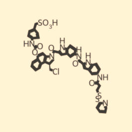 O=C(CCSSc1ccccn1)Nc1ccc2[nH]c(C(=O)Nc3ccc4[nH]c(C(=O)N5C[C@@H](CCl)c6c5cc(OC(=O)Nc5ccc(CS(=O)(=O)O)cc5)c5ccccc65)cc4c3)cc2c1